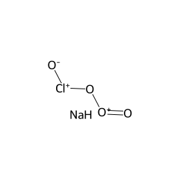 O=[O+]O[Cl+][O-].[NaH]